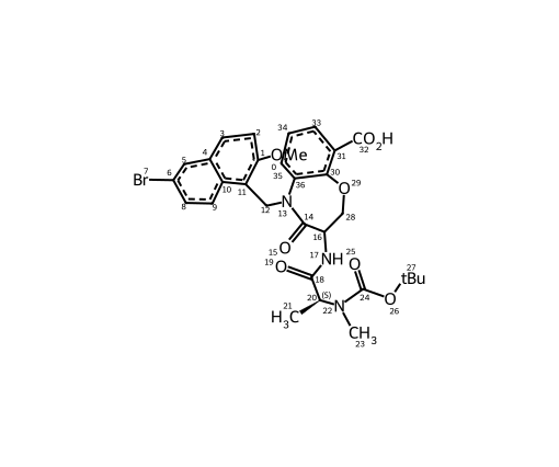 COc1ccc2cc(Br)ccc2c1CN1C(=O)C(NC(=O)[C@H](C)N(C)C(=O)OC(C)(C)C)COc2c(C(=O)O)cccc21